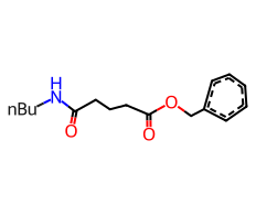 CCCCNC(=O)CCCC(=O)OCc1ccccc1